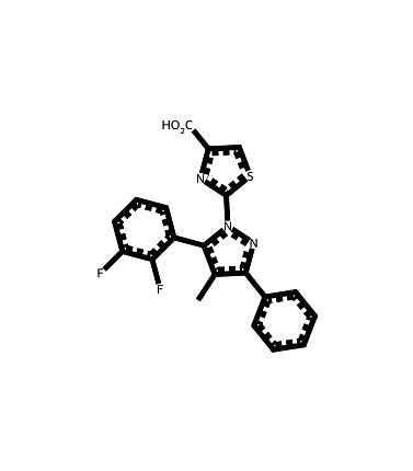 Cc1c(-c2ccccc2)nn(-c2nc(C(=O)O)cs2)c1-c1cccc(F)c1F